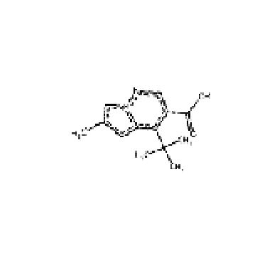 Cc1cc2c(C(C)(C)C)c(C(=O)O)cnn2c1